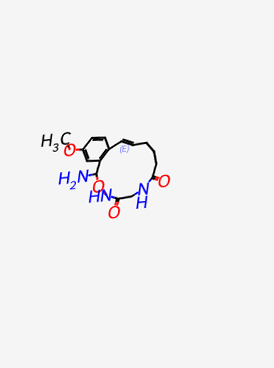 COc1ccc2c(c1)C(N)ONC(=O)CNC(=O)CCC/C=C/2